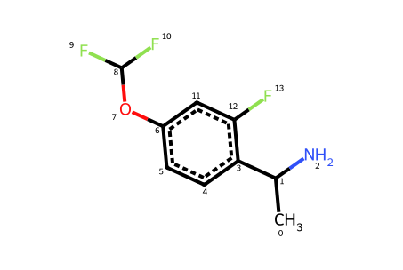 CC(N)c1ccc(OC(F)F)cc1F